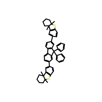 CC12CCCCC1(C)c1cc(-c3ccc4c(c3)C(c3ccccc3)(c3ccccc3)c3cc(-c5ccc6c(c5)C5(C)CCCCC5(C)S6)ccc3-4)ccc1S2